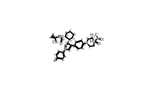 CCN(C)[SH]1(=O)CCN(c2ccc(-c3cn(-c4ccc(F)cc4)nc3[C@@H]3CCCC[C@H]3C(=O)NC3(C#N)CC3)cc2)CC1